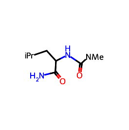 CNC(=O)NC(CC(C)C)C(N)=O